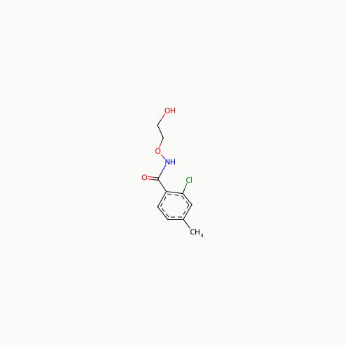 Cc1ccc(C(=O)NOCCO)c(Cl)c1